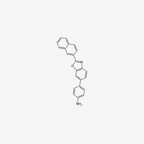 Nc1ccc(-c2ccc3nc(-c4ccc5ccccc5c4)oc3c2)cc1